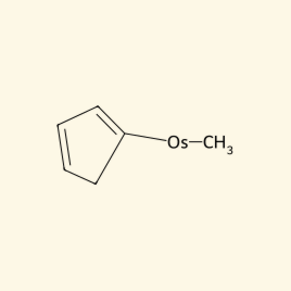 [CH3][Os][C]1=CC=CC1